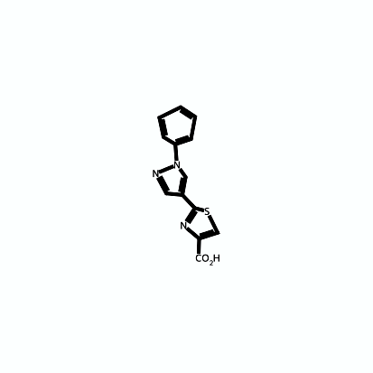 O=C(O)c1csc(-c2cnn(-c3ccccc3)c2)n1